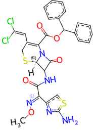 CO/N=C(/C(=O)NC1C(=O)N2C(C(=O)OC(c3ccccc3)c3ccccc3)=C(C=C(Cl)Cl)CS[C@H]12)c1csc(N)n1